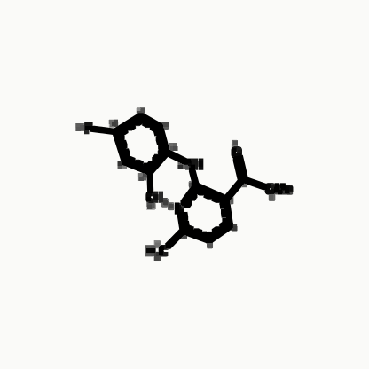 COC(=O)c1ccc(C)nc1Nc1ccc(F)cc1C